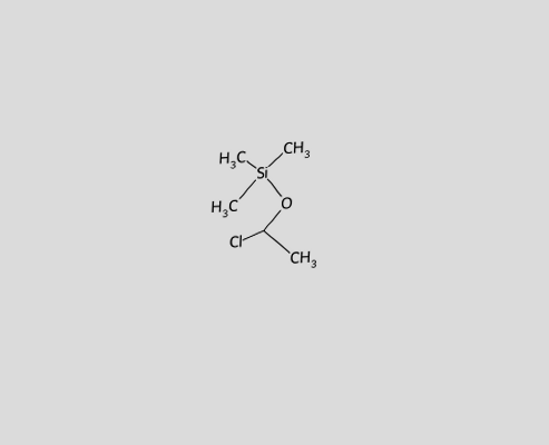 CC(Cl)O[Si](C)(C)C